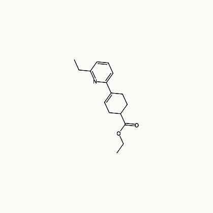 CCOC(=O)C1CC=C(c2cccc(CC)n2)CC1